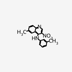 Cc1cccc(Nc2c([N+](=O)[O-])cnc3ccc(C)cc23)c1